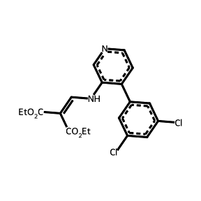 CCOC(=O)C(=CNc1cnccc1-c1cc(Cl)cc(Cl)c1)C(=O)OCC